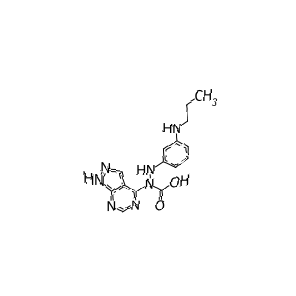 CCCNc1cccc(NN(C(=O)O)c2ncnc3[nH]ncc23)c1